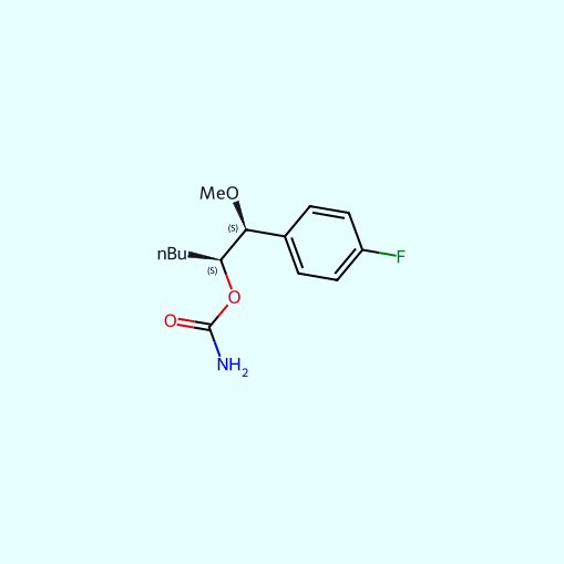 CCCC[C@H](OC(N)=O)[C@@H](OC)c1ccc(F)cc1